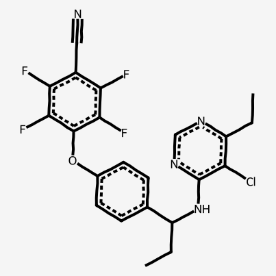 CCc1ncnc(NC(CC)c2ccc(Oc3c(F)c(F)c(C#N)c(F)c3F)cc2)c1Cl